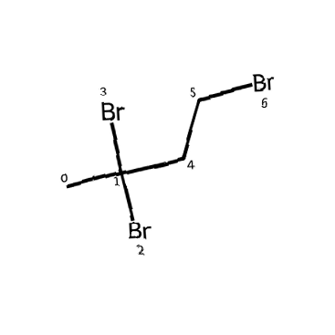 CC(Br)(Br)CCBr